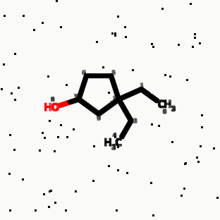 CCC1(CC)CCC(O)C1